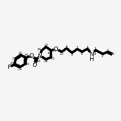 C=CCCNCCCCCCOC1CCN(C(=O)Oc2ccc(F)cc2)CC1